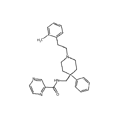 Cc1ccccc1CCN1CCC(CNC(=O)c2cnccn2)(c2ccccc2)CC1